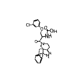 CN1N=C2CCN(C(=O)C(COc3cccc(Cl)c3)NC(=O)O)CC2(Cc2ccccc2)C1=O